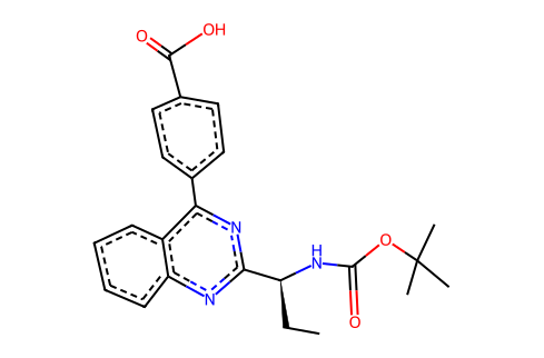 CC[C@H](NC(=O)OC(C)(C)C)c1nc(-c2ccc(C(=O)O)cc2)c2ccccc2n1